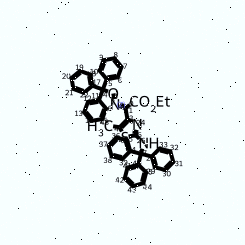 CCOC(=O)/C(=N\OC(c1ccccc1)(c1ccccc1)c1ccccc1)c1nc(NC(c2ccccc2)(c2ccccc2)c2ccccc2)sc1C